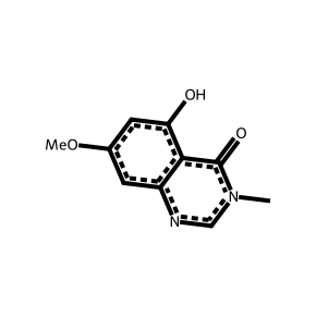 COc1cc(O)c2c(=O)n(C)cnc2c1